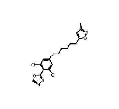 Cc1cc(CCCCCOc2cc(Cl)c(-c3nnco3)c(Cl)c2)on1